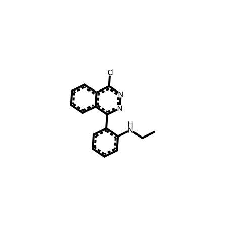 CCNc1ccccc1-c1nnc(Cl)c2ccccc12